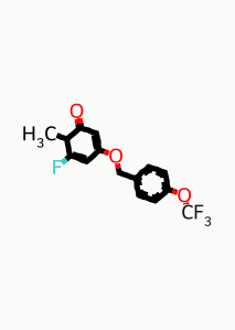 CC1C(=O)C=C(OCc2ccc(OC(F)(F)F)cc2)C=C1F